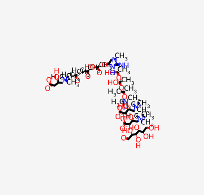 CC(=O)O.CC(=O)O.CC(=O)O.CC(C)=O.CC(C)=O.CC(C)=O.CN1CC(=O)NC1=N.CNC.C[N+](C)(C)CC(O)CC(=O)[O-].C[N+](C)(C)CC(O)CC(=O)[O-].C[N+](C)(C)CC(O)CC(=O)[O-].O=C[C@H](O)[C@@H](O)[C@H](O)[C@H](O)CO